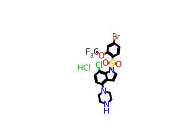 Cl.O=S(=O)(c1ccc(Br)cc1OC(F)(F)F)n1ccc2c(N3CCNCC3)ccc(Cl)c21